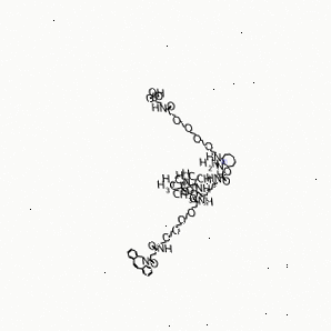 CC(C)C(=O)[C@H](C)NC(=O)[C@@H](NC(=O)[C@@H](CCCCCNC(=O)COC1CCCCC/C(NCCOCCOCCOCCOCCC(=O)NCCS(=O)(=O)O)=C\1NN)NC(=O)CCOCCOCCOCCOCCNC(=O)CCC(=O)N1Cc2ccccc2C#Cc2ccccc21)C(C)C